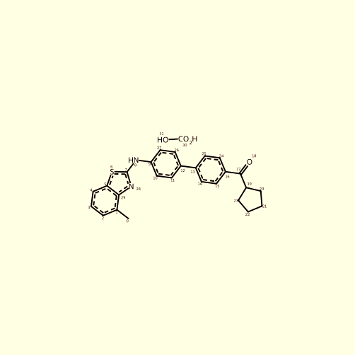 Cc1cccc2sc(Nc3ccc(-c4ccc(C(=O)C5CCCC5)cc4)cc3)nc12.O=C(O)O